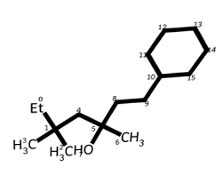 CCC(C)(C)CC(C)(O)CCC1CCCCC1